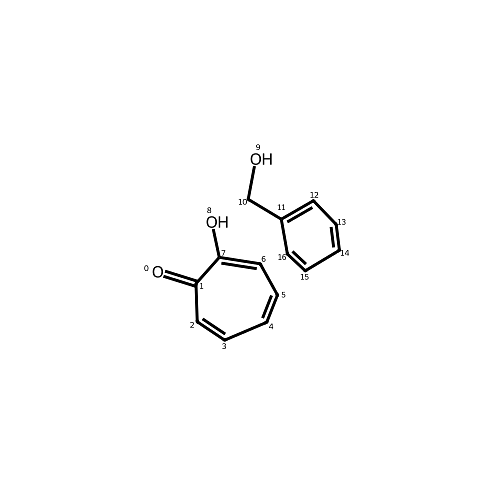 O=c1cccccc1O.OCc1ccccc1